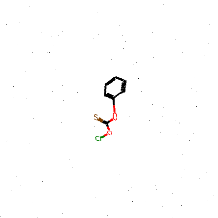 S=C(OCl)Oc1ccccc1